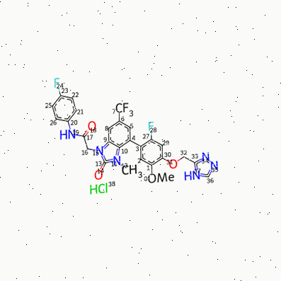 COc1cc(-c2cc(C(F)(F)F)cc3c2n(C)c(=O)n3CC(=O)Nc2ccc(F)cc2)c(F)cc1OCc1nnc[nH]1.Cl